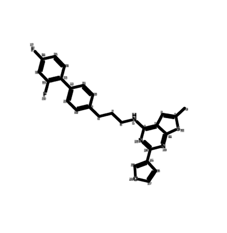 Cc1cc2c(NCCCc3ccc(-c4ccc(F)cc4F)cc3)nc(-c3ccoc3)nc2s1